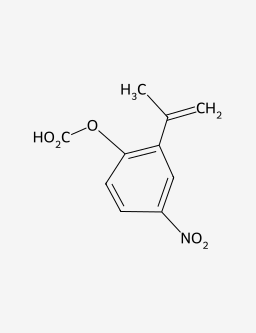 C=C(C)c1cc([N+](=O)[O-])ccc1OC(=O)O